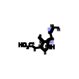 C=c1c(CC(=O)O)c[nH]/c1=C/C=C\C